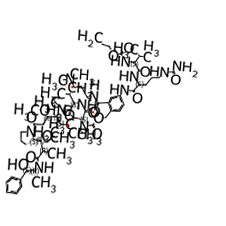 C=CCOC(=O)N[C@H](C(=O)N[C@@H](CCCNC(N)=O)C(=O)Nc1ccc(COC(=O)N(C)[C@H](C(=O)N[C@H](C(=O)N(C)[C@@H]([C@@H](C)CC)[C@@H](CC(=O)N2CCC[C@H]2[C@H](OC)[C@@H](C)C(=O)N[C@H](C)[C@@H](O)c2ccccc2)OC)C(C)C)C(C)C)c(C(=O)NCCCN(C)C)c1)C(C)C